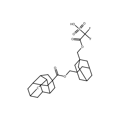 O=C(OCC12CC3CC(C1)CC(COC(=O)C(F)(F)S(=O)(=O)O)(C3)C2)C12CC3C4CC5CC3C(C1)C(C5)C4C2